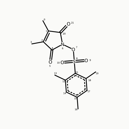 CC1=C(C)C(=O)N(OS(=O)(=O)c2c(C)cc(C)cc2C)C1=O